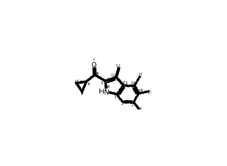 Cc1cc2[nH]c(C(=O)C3CC3)c(C)c2c(C)c1C